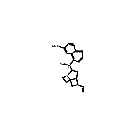 C=CC1CC23CCN2C([C@@H](O)c2cccc4ccc(OC)cc24)CC13